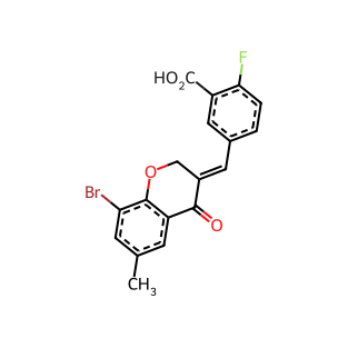 Cc1cc(Br)c2c(c1)C(=O)C(=Cc1ccc(F)c(C(=O)O)c1)CO2